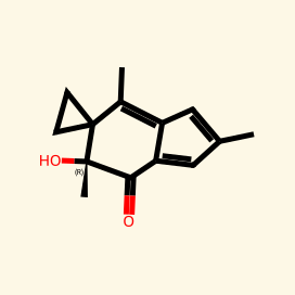 CC1=CC2=C(C)C3(CC3)[C@@](C)(O)C(=O)C2=C1